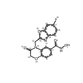 O=C(NO)c1ccc2c(c1)N(Cc1nc3ccc(F)cc3o1)C(=O)CO2